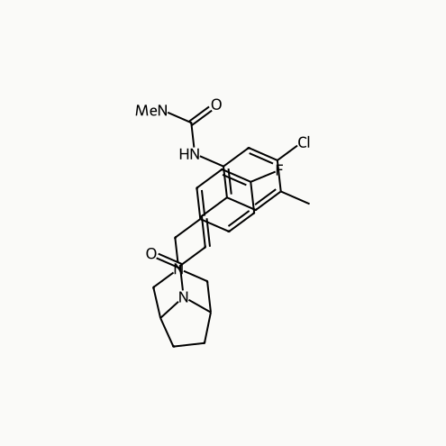 CNC(=O)Nc1cc(Cl)c(C)cc1C=CC(=O)N1C2CCC1CN(Cc1ccc(F)cc1)C2